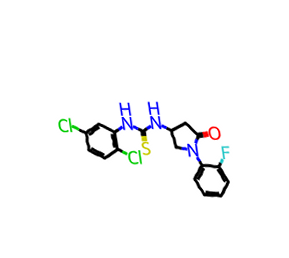 O=C1CC(NC(=S)Nc2cc(Cl)ccc2Cl)CN1c1ccccc1F